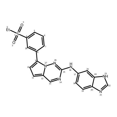 CCS(=O)(=O)c1cccc(-c2ccc3cnc(Nc4ccc5nc[nH]c5c4)nn23)c1